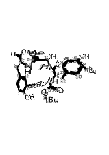 COC(=O)[C@H](Cc1ccc(O)c(C(C)(C)C)c1)NC(=O)[C@H](N)NC(=O)[C@H](Cc1ccc(O)c(C(C)(C)C)c1)NC(=O)OC(C)(C)C